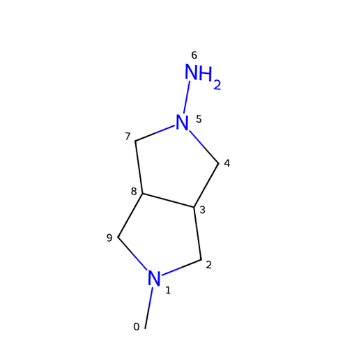 CN1CC2CN(N)CC2C1